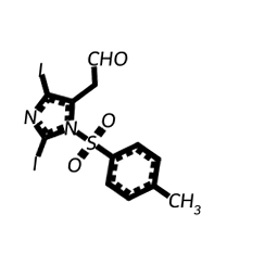 Cc1ccc(S(=O)(=O)n2c(I)nc(I)c2CC=O)cc1